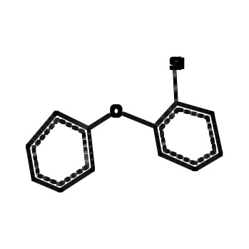 [Si]c1ccccc1Oc1ccccc1